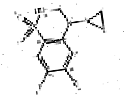 O=S1(=O)NCN(C2CC2)c2cc(Cl)c(F)cc21